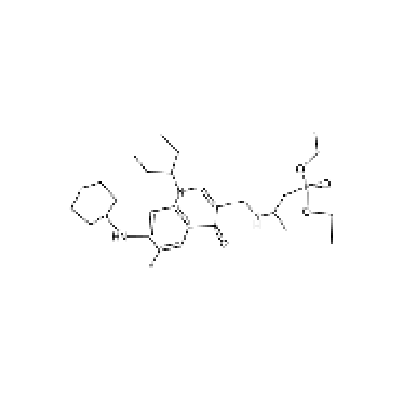 CCOP(=O)(CC(C)NCc1cn(C(CC)CC)c2cc(NC3CCCCC3)c(F)cc2c1=O)OCC